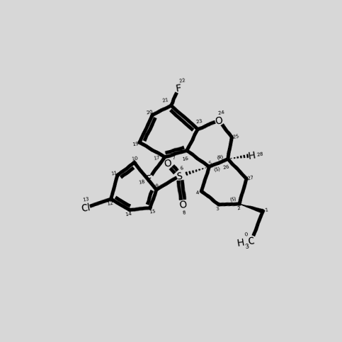 CC[C@H]1CC[C@@]2(S(=O)(=O)c3ccc(Cl)cc3)c3c(F)ccc(F)c3OC[C@H]2C1